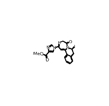 COC(=O)c1cn(C2=NCC(=O)N3C(=C2)c2ccccc2CC3I)cn1